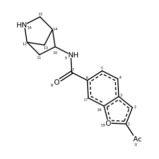 CC(=O)c1cc2ccc(C(=O)NC3CC4CC3CN4)cc2o1